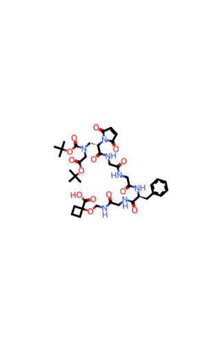 CC(C)(C)OC(=O)CN(C[C@@H](C(=O)NCC(=O)NCC(=O)N[C@@H](Cc1ccccc1)C(=O)NCC(=O)NCOC1(C(=O)O)CCC1)N1C(=O)C=CC1=O)C(=O)OC(C)(C)C